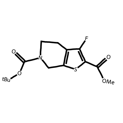 COC(=O)c1sc2c(c1F)CCN(C(=O)OC(C)(C)C)C2